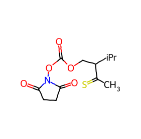 CC(=S)C(COC(=O)ON1C(=O)CCC1=O)C(C)C